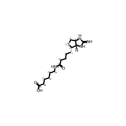 N=C1NC2CS[C@@H](CCCCC(=O)NCCCCCC(=O)O)[C@H]2N1